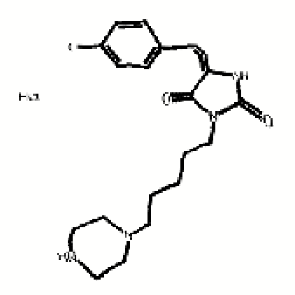 Cl.O=C1N/C(=C/c2ccc(Cl)cc2)C(=O)N1CCCCCN1CCNCC1